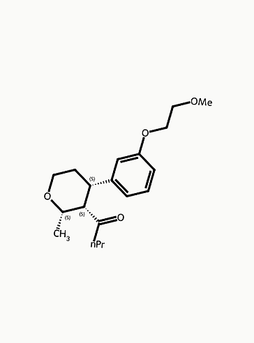 CCCC(=O)[C@@H]1[C@H](C)OCC[C@@H]1c1cccc(OCCOC)c1